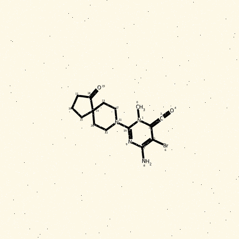 CN1C(=C=O)C(Br)=C(N)N=C1N1CCC2(CCCC2=O)CC1